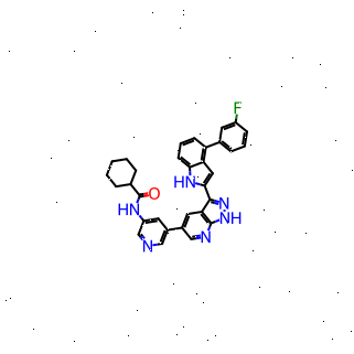 O=C(Nc1cncc(-c2cnc3[nH]nc(-c4cc5c(-c6cccc(F)c6)cccc5[nH]4)c3c2)c1)C1CCCCC1